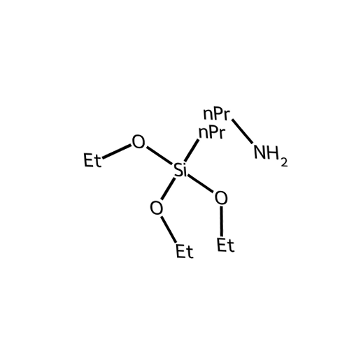 CCCN.CCC[Si](OCC)(OCC)OCC